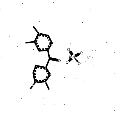 Cc1ccc(C(=O)c2ccc(C)c(C)c2)cc1C.[K+].[O]=[Mn](=[O])(=[O])[O-]